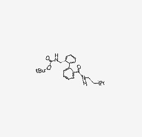 CC(C)CCNC(=O)c1ccccc1-c1ccccc1CNC(=O)OC(C)(C)C